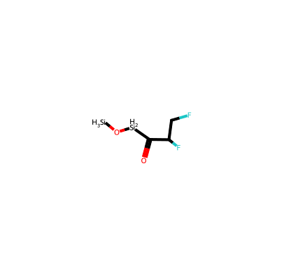 O=C([SiH2]O[SiH3])C(F)CF